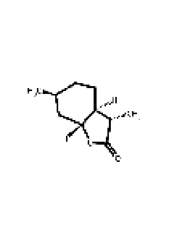 C[C@H]1CC[C@H]2[C@H](C)C(=O)O[C@@H]2C1